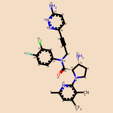 Cc1cc(C(F)(F)F)c(C#N)c(N2CC[C@@H](N)[C@H]2C(=O)N(CC#Cc2ccc(N)nn2)c2ccc(F)c(Cl)c2)n1